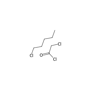 CCCCCCl.O=C(Cl)CCl